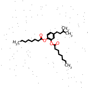 CCCCCCCC(=O)Oc1ccc(CCC(C)C)cc1OC(=O)CCCCCCC